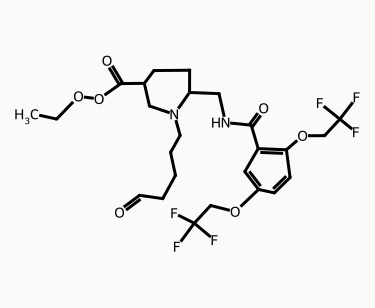 CCOOC(=O)C1CCC(CNC(=O)c2cc(OCC(F)(F)F)ccc2OCC(F)(F)F)N(CCCCC=O)C1